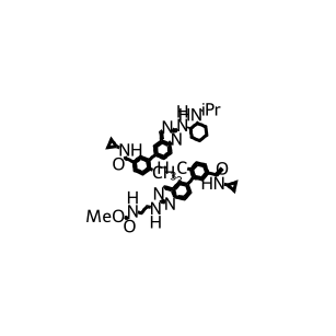 COC(=O)NCCNc1ncc2cc(-c3cc(C(=O)NC4CC4)ccc3C)ccc2n1.Cc1ccc(C(=O)NC2CC2)cc1-c1ccc2nc(N[C@@H]3CCCC[C@H]3NC(C)C)ncc2c1